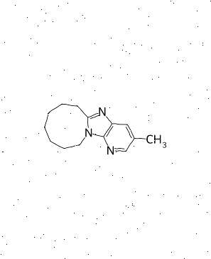 Cc1cnc2c(c1)nc1n2CCCCCCC1